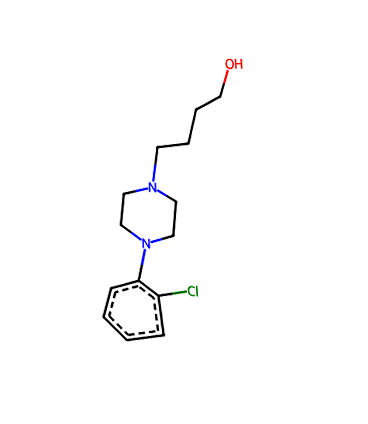 OCCCCN1CCN(c2ccccc2Cl)CC1